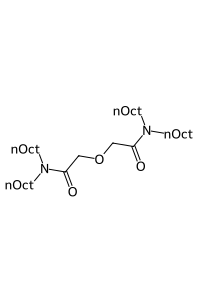 CCCCCCCCN(CCCCCCCC)C(=O)COCC(=O)N(CCCCCCCC)CCCCCCCC